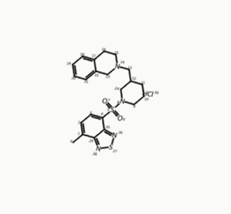 Cc1ccc(S(=O)(=O)N2CCCC(CN3CCc4ccccc4C3)C2)c2nsnc12.Cl